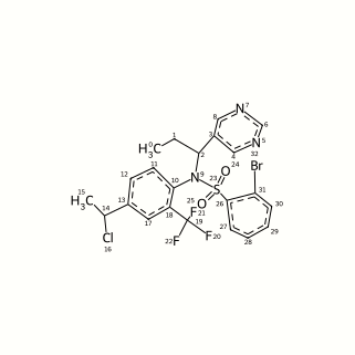 CCC(c1cncnc1)N(c1ccc(C(C)Cl)cc1C(F)(F)F)S(=O)(=O)c1ccccc1Br